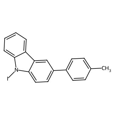 Cc1ccc(-c2ccc3c(c2)c2ccccc2n3I)cc1